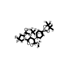 CN(C)C(=O)[C@H](C1CC=C(B2OC(C)(C)C(C)(C)O2)CC1)[C@@H](C(=O)N1CCC(F)(F)C1)N(C(=O)O)C(C)(C)C